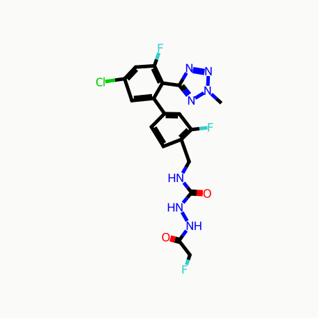 Cn1nnc(-c2c(F)cc(Cl)cc2-c2ccc(CNC(=O)NNC(=O)CF)c(F)c2)n1